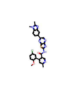 COc1ccc(Cl)cc1-c1cc(C)ncc1C(=O)Nc1nc2ncc(-c3ccc4c(c3)nc(C)n4C)nc2s1